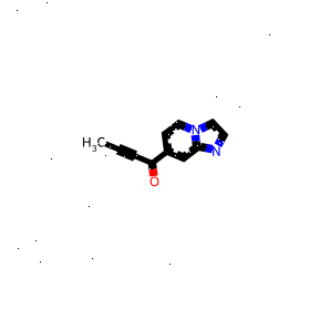 CC#CC(=O)c1ccn2ccnc2c1